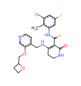 Cc1c(Cl)cc(F)cc1NC(=S)C1=C(NCc2ccncc2OCC2CCO2)CCNC1=O